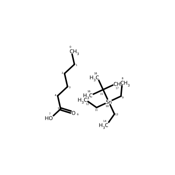 CCCCCC(=O)O.C[CH2][Sn]([CH2]C)([CH2]C)[C](C)(C)C